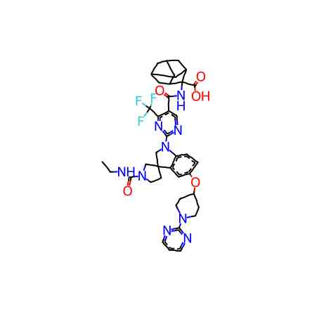 CCNC(=O)N1CCC2(C1)CN(c1ncc(C(=O)NC3(C(=O)O)C4CC5CC(C4)CC3C5)c(C(F)(F)F)n1)c1ccc(OC3CCN(c4ncccn4)CC3)cc12